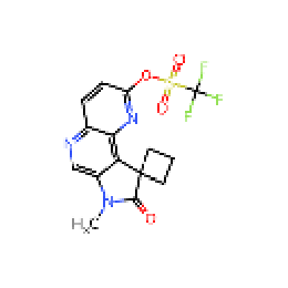 CN1C(=O)C2(CCC2)c2c1cnc1ccc(OS(=O)(=O)C(F)(F)F)nc21